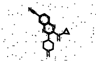 N#Cc1ccc2nc(NC3CC3)c(C3CCNCC3)nc2c1